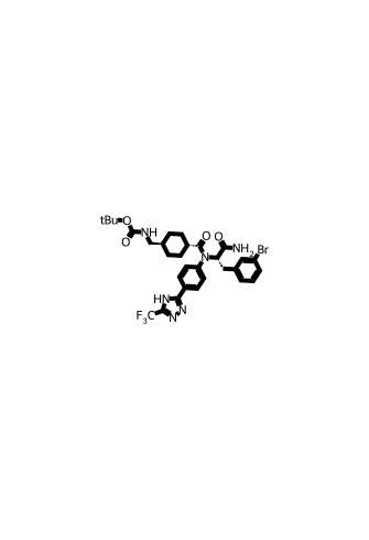 CC(C)(C)OC(=O)NC[C@H]1CC[C@H](C(=O)N(c2ccc(-c3nnc(C(F)(F)F)[nH]3)cc2)[C@@H](Cc2cccc(Br)c2)C(N)=O)CC1